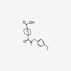 CCc1ccc(CN(C)C(=O)C23CCC(C(=O)O)(CC2)CC3)cc1